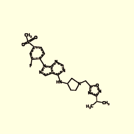 CC(C)c1noc(CN2CCC(Nc3ncnc4c3cnn4-c3ccc(S(C)(=O)=O)cc3F)C2)n1